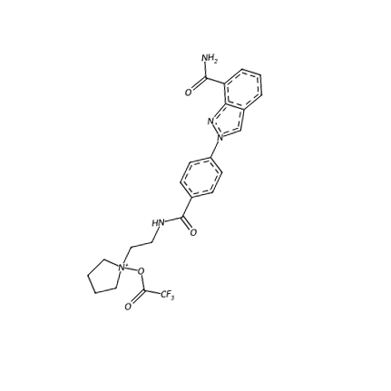 NC(=O)c1cccc2cn(-c3ccc(C(=O)NCC[N+]4(OC(=O)C(F)(F)F)CCCC4)cc3)nc12